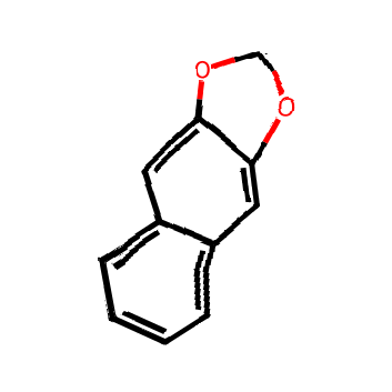 [CH]1Oc2cc3ccccc3cc2O1